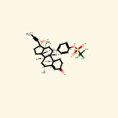 CC#C[C@]1(O)CC[C@H]2[C@@H]3C[C@@H](Br)C4=CC(=O)CC[C@@H]4[C@H]3[C@@H](c3ccc(OS(=O)(=O)C(F)(F)F)cc3)C[C@@]21C